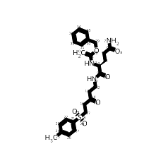 C=C(N[C@@H](CCC(N)=O)C(=O)NCCC(=O)CCS(=O)(=O)c1ccc(C)cc1)OCc1ccccc1